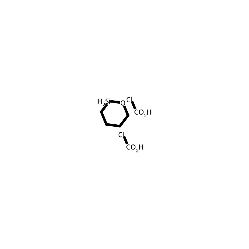 C1CC[SiH2]OC1.O=C(O)Cl.O=C(O)Cl